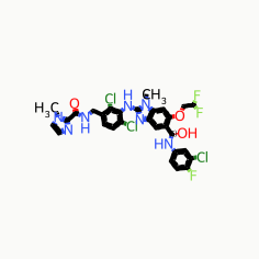 Cn1ccnc1C(=O)NCc1ccc(Cl)c(Nc2nc3cc([C@H](O)Nc4ccc(F)c(Cl)c4)c(OCC(F)F)cc3n2C)c1Cl